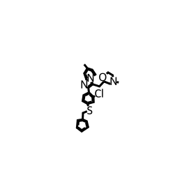 Cc1ccn2c(CC3CN(C)CCO3)c(-c3ccc(SCc4ccccc4)cc3Cl)nc2c1